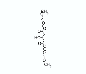 COCCOCOC(=O)CC(O)CC(=O)OCOCCOC